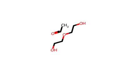 CC=O.OCCOCCO